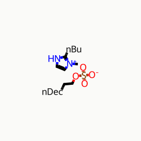 CCCCCCCCCCCCOS(=O)(=O)[O-].CCCCc1[nH]cc[n+]1C